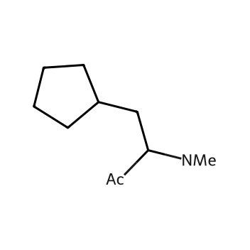 CNC(CC1CCCC1)C(C)=O